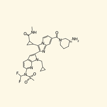 CNC(=O)C1CC1c1c(-c2cc3ccc(N(C(F)F)S(C)(=O)=O)nc3n2CC2CC2)nc2cc(C(=O)N3CCC[C@@H](N)C3)ccn12